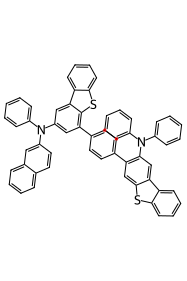 c1ccc(N(c2ccc3ccccc3c2)c2cc(-c3ccc(-c4cc5sc6ccccc6c5cc4N(c4ccccc4)c4ccccc4)cc3)c3sc4ccccc4c3c2)cc1